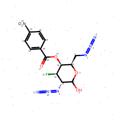 [N-]=[N+]=NC[C@H]1OC(O)[C@H](N=[N+]=[N-])[C@@H](F)[C@H]1OC(=O)c1ccc([N+](=O)[O-])cc1